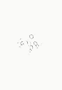 CNc1nc2nc(C(Cc3cc(F)cc(F)c3)NC(=O)Cn3nc(C(F)(F)F)c4c3C(F)(F)CC4)c(-c3cccc4c(NSC)nn(C)c34)cc2s1